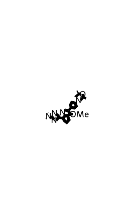 COc1c(-c2ccc(N3CC(C)O[C@H](C)C3)cc2)cnc2c(-c3cnc(N(C)C)nc3)cccc12